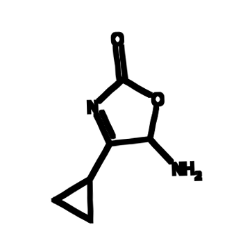 NC1OC(=O)N=C1C1CC1